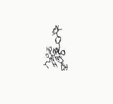 Cc1ncsc1-c1ccc(CNC(=O)[C@@H]2C[C@@H](O)CN2C(O)[C@@H](NC(=O)CCC(C)C)[C@H](C)O)cc1